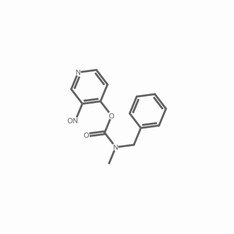 CN(Cc1ccccc1)C(=O)Oc1ccncc1N=O